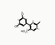 Cc1ncc(C(=O)O)c(-c2cc(Cl)cc(Cl)c2)n1